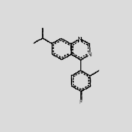 Cc1cc(F)ccc1-c1ncnc2cc(C(C)C)ccc12